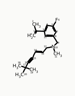 C=C(C)c1cc(F)cc(CN(C)CC=CC#CC(C)(C)C)c1